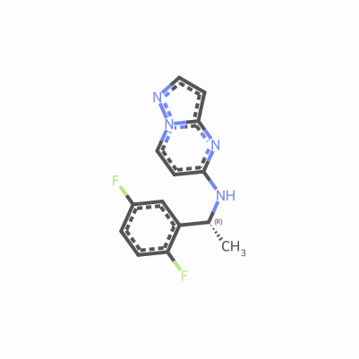 C[C@@H](Nc1ccn2nccc2n1)c1cc(F)ccc1F